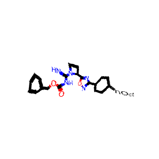 CCCCCCCCC1CCC(c2noc(C3CCN3C(=N)NC(=O)OCc3ccccc3)n2)CC1